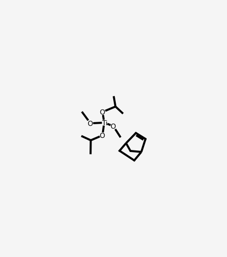 C1=CC2CCC1C2.C[O][Ti]([O]C)([O]C(C)C)[O]C(C)C